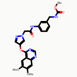 COc1cc2ncnc(Oc3cnn(CC(=O)Nc4cccc(CNC(=O)OC(C)(C)C)c4)c3)c2cc1OC